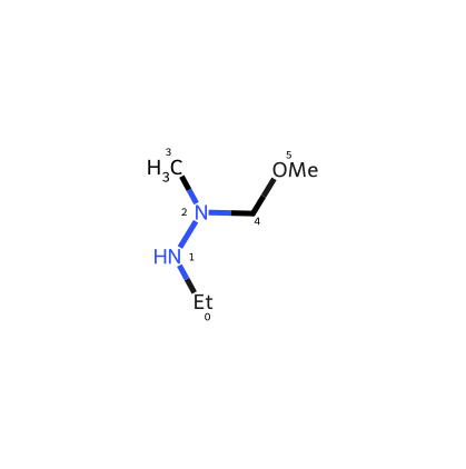 CCNN(C)COC